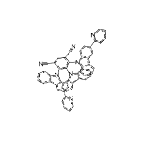 N#Cc1cc(C#N)c(-n2c3ccccc3c3cc(-c4ccccn4)ccc32)c(-n2c3ccccc3c3ccccc32)c1-n1c2ccccc2c2cc(-c3ccccn3)ccc21